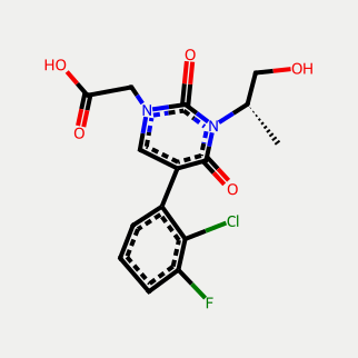 C[C@@H](CO)n1c(=O)c(-c2cccc(F)c2Cl)cn(CC(=O)O)c1=O